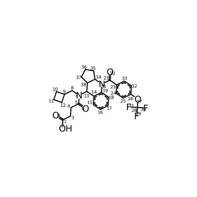 O=C(O)CCC(=O)N(CC1CCC1)C1c2ccccc2N(C(=O)c2ccc(OC(F)(F)F)cc2)C2CCCC12